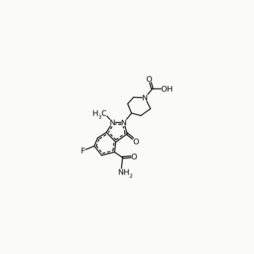 Cn1c2cc(F)cc(C(N)=O)c2c(=O)n1C1CCN(C(=O)O)CC1